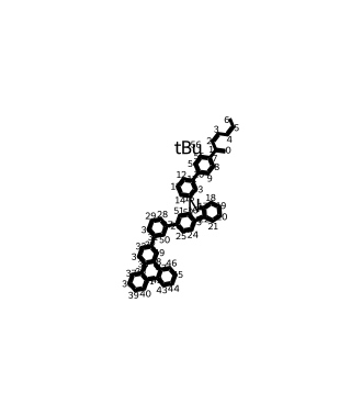 C=C(/C=C\C=C/C)c1ccc(-c2cccc(-n3c4ccccc4c4ccc(-c5cccc(-c6ccc7c8ccccc8c8ccccc8c7c6)c5)cc43)c2)cc1C(C)(C)C